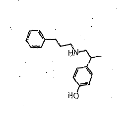 CC(CNCCCc1ccccc1)c1ccc(O)cc1